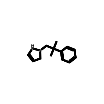 CC(C)(CN1CC=CN1)c1ccccc1